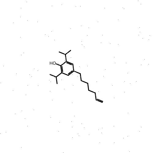 C=CCCCCCc1cc(C(C)C)c(O)c(C(C)C)c1